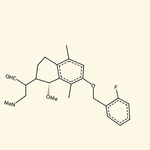 CNCC(C=O)C1CCc2c(C)cc(OCc3ccccc3F)c(C)c2[C@@H]1OC